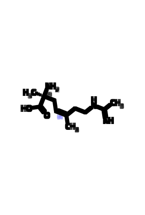 CC(=N)NCC/C(C)=C\C[C@](C)(N)C(=O)O